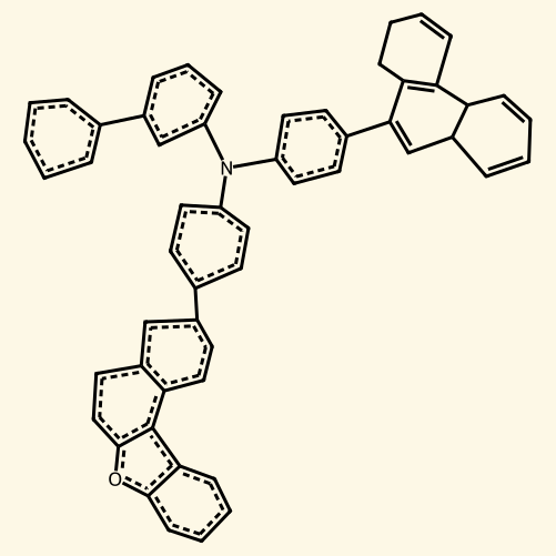 C1=CC2C=C(c3ccc(N(c4ccc(-c5ccc6c(ccc7oc8ccccc8c76)c5)cc4)c4cccc(-c5ccccc5)c4)cc3)C3=C(C=CCC3)C2C=C1